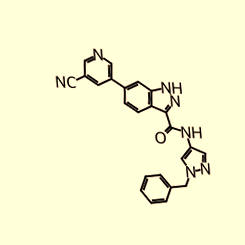 N#Cc1cncc(-c2ccc3c(C(=O)Nc4cnn(Cc5ccccc5)c4)n[nH]c3c2)c1